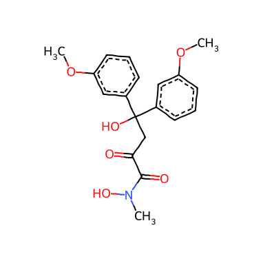 COc1cccc(C(O)(CC(=O)C(=O)N(C)O)c2cccc(OC)c2)c1